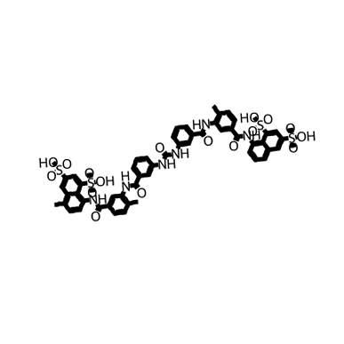 Cc1ccc(C(=O)Nc2cccc3cc(S(=O)(=O)O)cc(S(=O)(=O)O)c23)cc1NC(=O)c1cccc(NC(=O)Nc2cccc(C(=O)Nc3cc(C(=O)Nc4ccc(C)c5cc(S(=O)(=O)O)cc(S(=O)(=O)O)c45)ccc3C)c2)c1